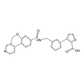 O=C(NCc1cccc(-c2ccoc2C(=O)O)c1)c1ccc2c(c1)OCc1cnccc1-2